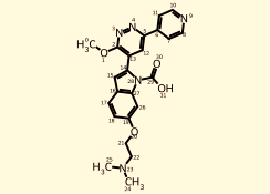 COc1nnc(-c2ccncc2)cc1-c1cc2ccc(OCCN(C)C)cc2n1C(=O)O